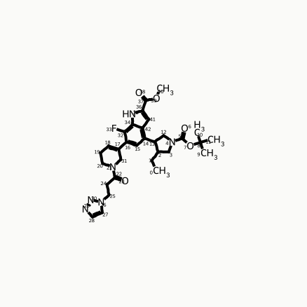 CCC1CN(C(=O)OC(C)(C)C)CC1c1cc(C2=CCCN(C(=O)CCn3ccnn3)C2)c(F)c2[nH]c(C(=O)OC)cc12